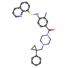 Cc1cc(C(=O)N2CCN(CC3(c4ccccc4)CC3)CC2)ccc1NSc1cccc2cccnc12